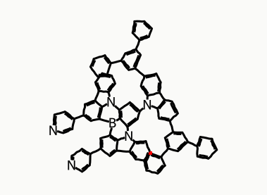 c1ccc(-c2cc(-c3ccccc3)cc(-c3ccc4c5ccc(-c6cc(-c7ccccc7)cc(-c7ccccc7)c6)cc5n(-c5cc6c7c(c5)-n5c8ccccc8c8cc(-c9ccncc9)cc(c85)B7c5cc(-c7ccncc7)cc7c8ccccc8n-6c57)c4c3)c2)cc1